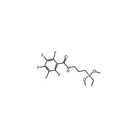 CC[Si](CCCNC(=O)c1c(F)c(F)c(F)c(F)c1F)(OC)OC